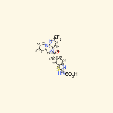 CC1CCN(c2nc(C(F)(F)F)ccc2N(C)C(=O)C(C)c2ccc3nc(NC(=O)O)sc3c2)CC1